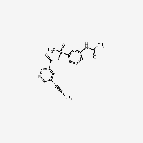 CC#Cc1cncc(C(=O)N=S(C)(=O)c2cccc(NC(C)=O)c2)c1